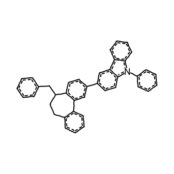 c1ccc(CC2CCc3ccccc3-c3cc(-c4ccc5c(c4)c4ccccc4n5-c4ccccc4)ccc32)cc1